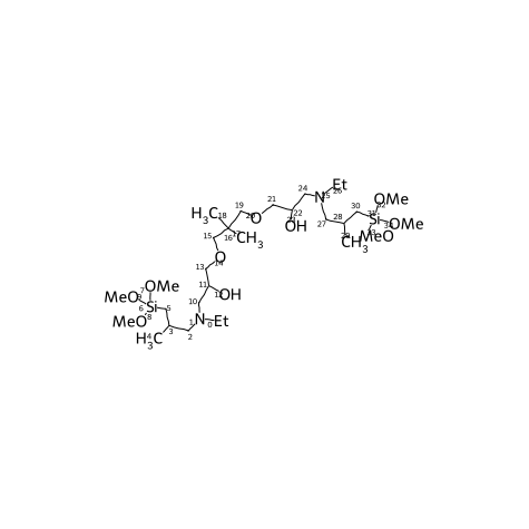 CCN(CC(C)C[Si](OC)(OC)OC)CC(O)COCC(C)(C)COCC(O)CN(CC)CC(C)C[Si](OC)(OC)OC